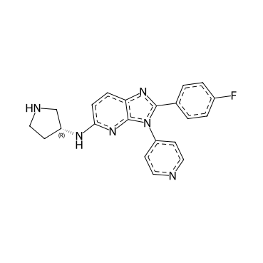 Fc1ccc(-c2nc3ccc(N[C@@H]4CCNC4)nc3n2-c2ccncc2)cc1